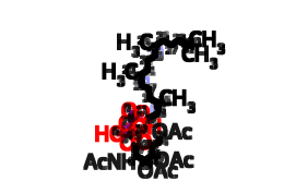 CC(=O)NC1[C@@H](OP(=O)(O)OP(=O)(O)OC/C=C(/C)CC/C=C(/C)CC/C=C(\C)CCC=C(C)C)OC(COC(C)=O)[C@@H](OC(C)=O)[C@@H]1OC(C)=O